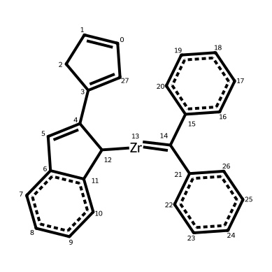 C1=CCC(C2=Cc3ccccc3[CH]2[Zr]=[C](c2ccccc2)c2ccccc2)=C1